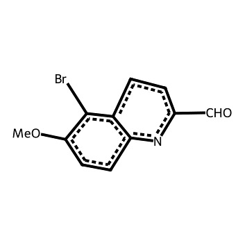 COc1ccc2nc(C=O)ccc2c1Br